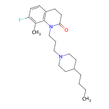 CCCCC1CCN(CCCN2C(=O)CCc3ccc(F)c(C)c32)CC1